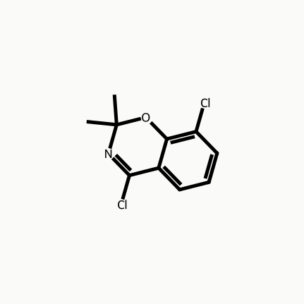 CC1(C)N=C(Cl)c2cccc(Cl)c2O1